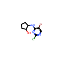 OC1CCCC1Nc1nc(Cl)ncc1Br